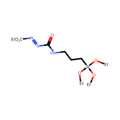 CCOC(=O)N=NC(=O)NCCC[Si](OCC)(OCC)OCC